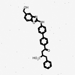 O=C(CC(Cc1ccccc1)C(=O)O)c1ccc(-c2ccc(Nc3nc4cc(CO)ccc4o3)cc2)cc1